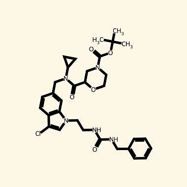 CC(C)(C)OC(=O)N1CCOC(C(=O)N(Cc2ccc3c(Cl)cn(CCNC(=O)NCc4ccccc4)c3c2)C2CC2)C1